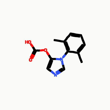 Cc1cccc(C)c1-n1cncc1OC(=O)O